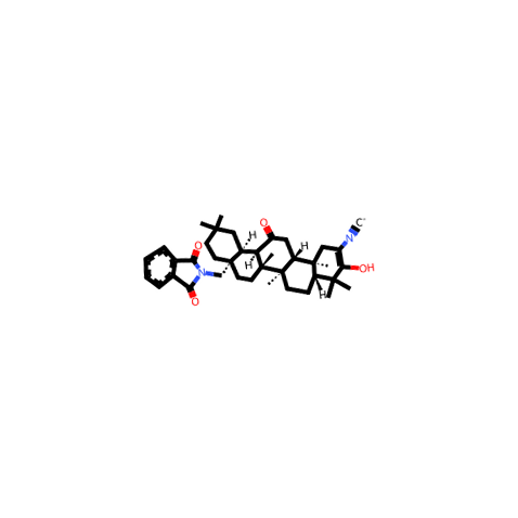 [C-]#[N+]C1=C(O)C(C)(C)[C@@H]2CC[C@]3(C)[C@H](CC(=O)[C@@H]4[C@@H]5CC(C)(C)CC[C@]5(CN5C(=O)c6ccccc6C5=O)CC[C@]43C)[C@@]2(C)C1